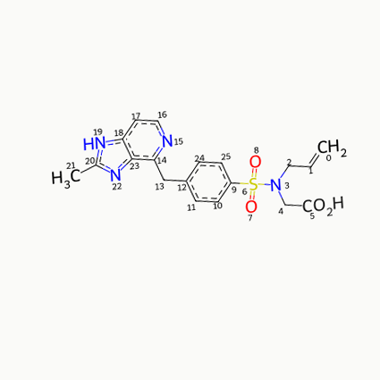 C=CCN(CC(=O)O)S(=O)(=O)c1ccc(Cc2nccc3[nH]c(C)nc23)cc1